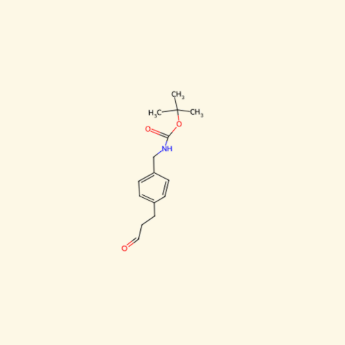 CC(C)(C)OC(=O)NCc1ccc(CCC=O)cc1